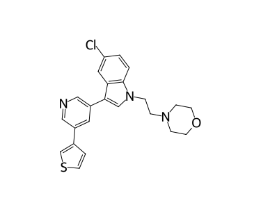 Clc1ccc2c(c1)c(-c1cncc(-c3ccsc3)c1)cn2CCN1CCOCC1